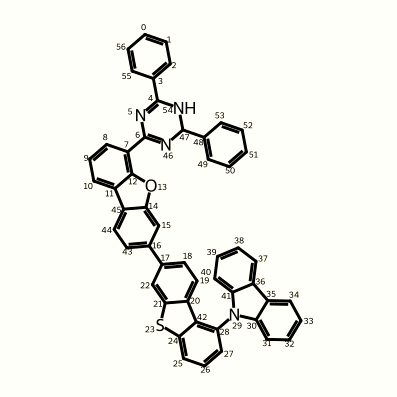 c1ccc(C2=NC(c3cccc4c3oc3cc(-c5ccc6c(c5)sc5cccc(-n7c8ccccc8c8ccccc87)c56)ccc34)=NC(c3ccccc3)N2)cc1